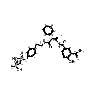 CC(C)COc1ccc([C@H](C)NC(=O)[C@H](C(=O)NCCc2ccc(OP(=O)(O)CP(=O)(O)O)cc2)c2ccccc2)cc1C(N)=O